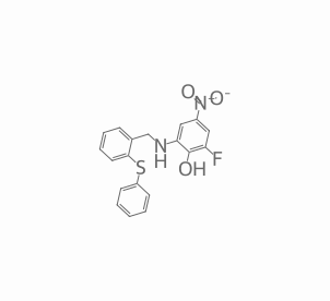 O=[N+]([O-])c1cc(F)c(O)c(NCc2ccccc2Sc2ccccc2)c1